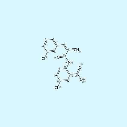 CC(=Cc1cccc(Cl)c1)C(=O)Nc1ccc(Cl)cc1C(=O)O